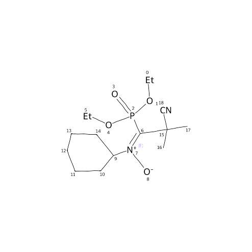 CCOP(=O)(OCC)/C(=[N+](/[O-])C1CCCCC1)C(C)(C)C#N